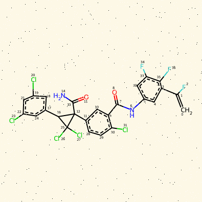 C=C(F)c1cc(NC(=O)c2cc(C3(C(N)=O)C(c4cc(Cl)cc(Cl)c4)C3(Cl)Cl)ccc2Cl)cc(F)c1F